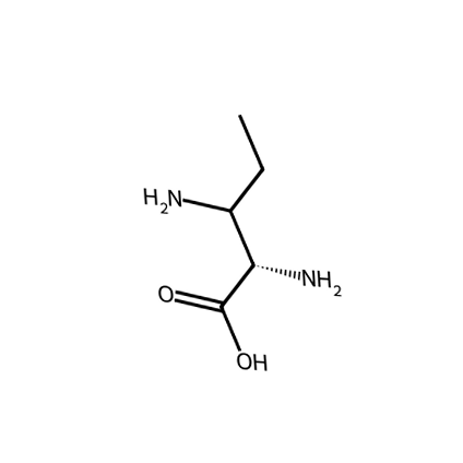 CCC(N)[C@H](N)C(=O)O